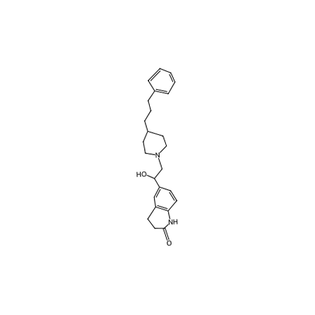 O=C1CCc2cc(C(O)CN3CCC(CCCc4ccccc4)CC3)ccc2N1